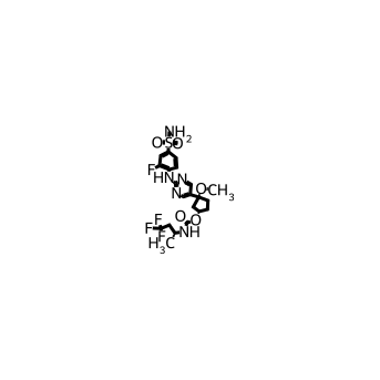 CO[C@@]1(c2cnc(Nc3ccc(S(N)(=O)=O)cc3F)nc2)CC[C@H](OC(=O)N[C@@H](C)CC(F)(F)F)C1